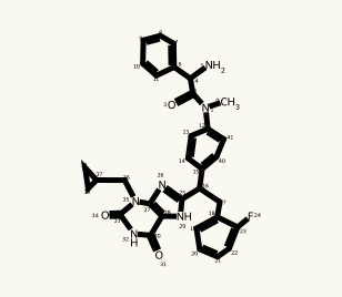 CN(C(=O)C(N)c1ccccc1)c1ccc(C(Cc2ccccc2F)c2nc3c([nH]2)c(=O)[nH]c(=O)n3CC2CC2)cc1